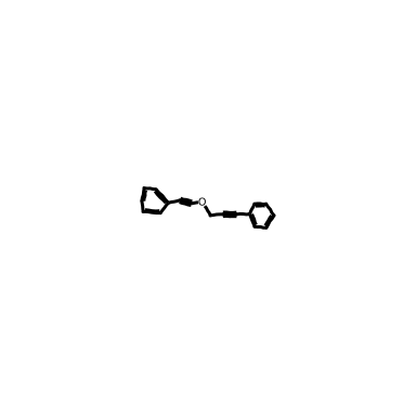 C(#Cc1ccccc1)COC#Cc1ccccc1